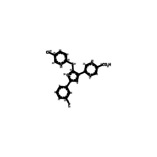 O=C(O)c1cnc(-c2nc(-c3cccc(F)c3)oc2Sc2ccc(Cl)cn2)cn1